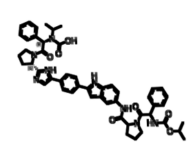 CC(C)OC(=O)NC(C(=O)N1CCCC1C(=O)Nc1ccc2[nH]c(-c3ccc(-c4cnc([C@@H]5CCCN5C(=O)[C@@H](c5ccccc5)N(C(=O)O)C(C)C)[nH]4)cc3)cc2c1)c1ccccc1